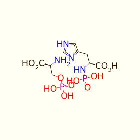 N[C@@H](COP(=O)(O)O)C(=O)O.O=C(O)[C@H](Cc1c[nH]cn1)NP(=O)(O)O